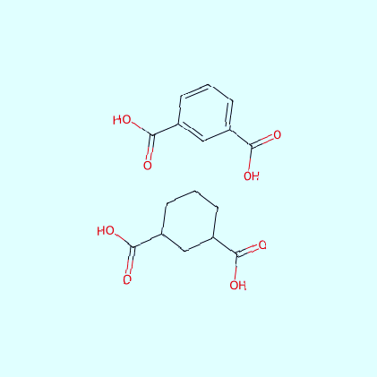 O=C(O)C1CCCC(C(=O)O)C1.O=C(O)c1cccc(C(=O)O)c1